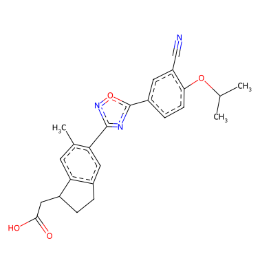 Cc1cc2c(cc1-c1noc(-c3ccc(OC(C)C)c(C#N)c3)n1)CCC2CC(=O)O